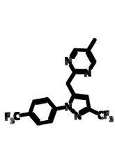 Cc1cnc(Cc2cc(C(F)(F)F)nn2-c2ccc(C(F)(F)F)cc2)nc1